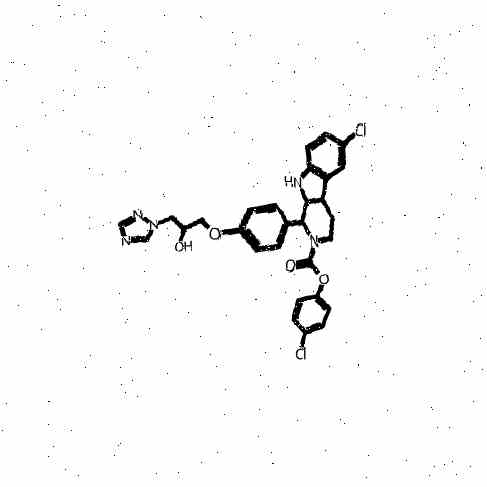 O=C(Oc1ccc(Cl)cc1)N1CCC2c3cc(Cl)ccc3NC2C1c1ccc(OCC(O)Cn2cncn2)cc1